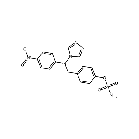 NS(=O)(=O)Oc1ccc(CN(c2ccc([N+](=O)[O-])cc2)n2cnnc2)cc1